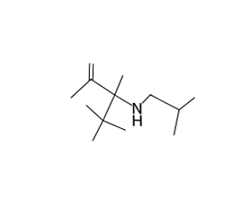 C=C(C)C(C)(NCC(C)C)C(C)(C)C